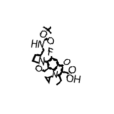 CCc1c(C(=O)O)c(=O)c2cc(F)c(N3CCCC3CNC(=O)OC(C)(C)C)c(C=O)c2n1C1CC1